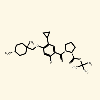 CC(C)(C)OC(=O)[C@@H]1CCCN1C(=O)c1cc(C2CC2)c(OC[C@]2(C)CC[C@H](C)CC2)cc1F